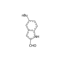 CCCCc1ccc2[nH]c(C=O)cc2c1